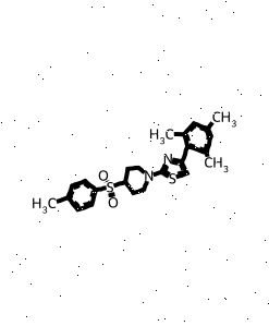 Cc1ccc(S(=O)(=O)C2CCN(c3nc(-c4c(C)cc(C)cc4C)cs3)CC2)cc1